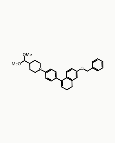 COC(OC)C1CCN(c2ccc(C3=CCCc4cc(OCc5ccccc5)ccc43)cc2)CC1